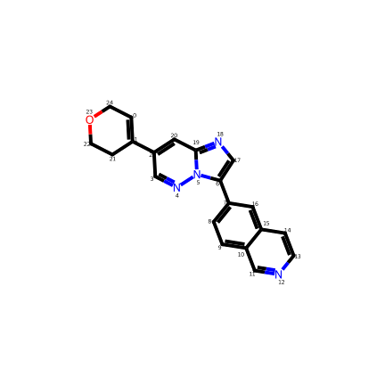 C1=C(c2cnn3c(-c4ccc5cnccc5c4)cnc3c2)CCOC1